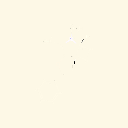 O=CC1C(OCc2ccccc2)[C@H]2CC[C@H]2N1C(=O)O